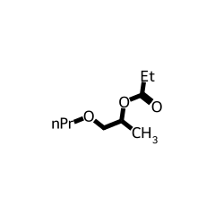 CCCOCC(C)OC(=O)CC